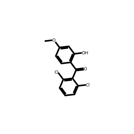 COc1ccc(C(=O)c2c(Cl)cccc2Cl)c(O)c1